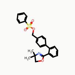 CC1(C)COC(c2ccccc2-c2ccc(COS(=O)(=O)c3ccccc3)cc2)=N1